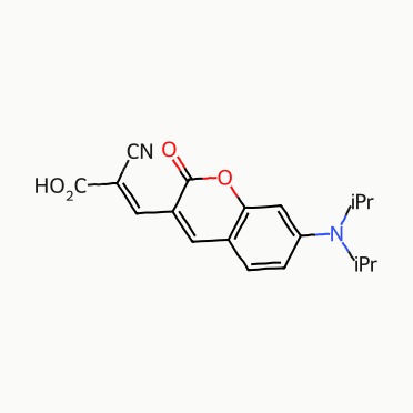 CC(C)N(c1ccc2cc(/C=C(\C#N)C(=O)O)c(=O)oc2c1)C(C)C